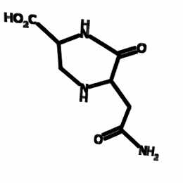 NC(=O)CC1NCC(C(=O)O)NC1=O